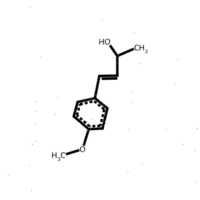 COc1ccc(C=CC(C)O)cc1